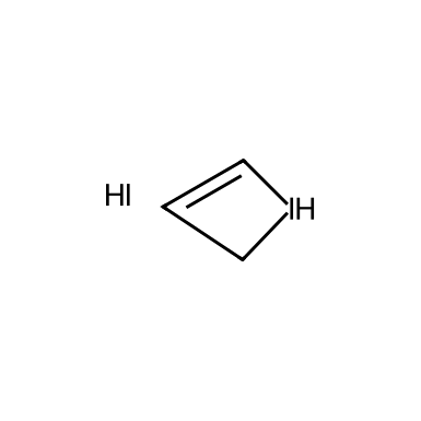 C1=C[IH]C1.I